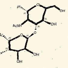 CC(=O)NC1[C@H](C(C)C)OC(CO)[C@@H](O)[C@@H]1O[C@@H]1O[C@@H](C(C)=O)[C@@H](C(C)C)C(O)C1O